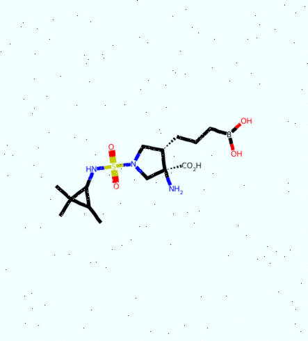 CC1C(NS(=O)(=O)N2C[C@H](CCCB(O)O)[C@](N)(C(=O)O)C2)C1(C)C